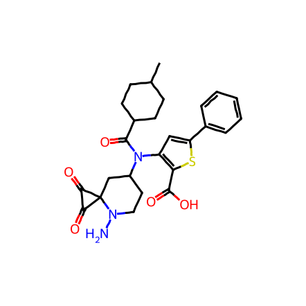 CC1CCC(C(=O)N(c2cc(-c3ccccc3)sc2C(=O)O)C2CCN(N)C3(C2)C(=O)C3=O)CC1